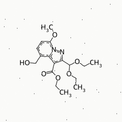 CCOC(=O)c1c(C(OCC)OCC)nn2c(OC)ccc(CO)c12